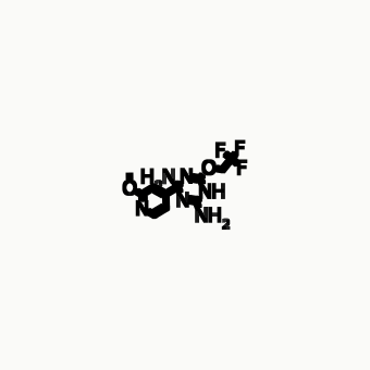 COc1cc(C2(N)N=C(N)NC(OCC(F)(F)F)=N2)ccn1